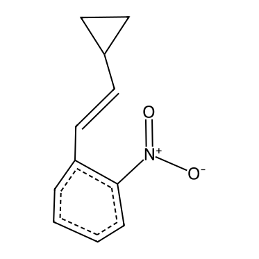 O=[N+]([O-])c1ccccc1/C=C/C1CC1